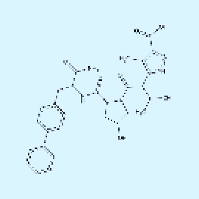 Cc1c(C(=O)O)nnn1C(C(=O)N1CC(O)CC1C(=O)NC(Cc1ccc(-c2ccccc2)cc1)C(N)=O)C(C)C